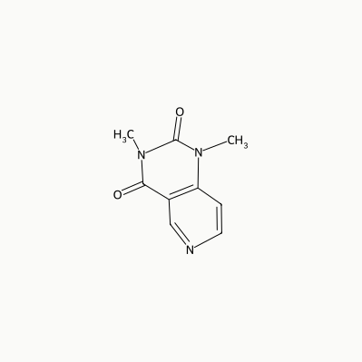 Cn1c(=O)c2cnccc2n(C)c1=O